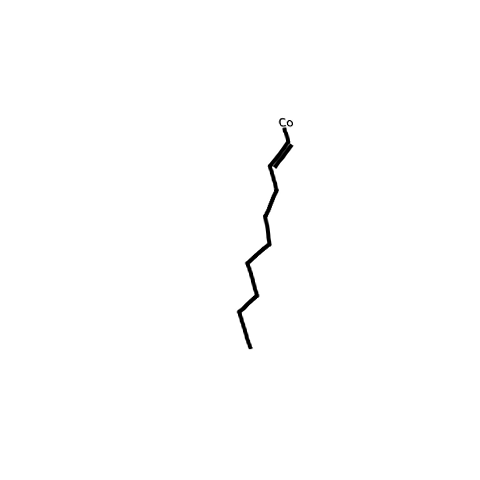 CCCCCCCC=[CH][Co]